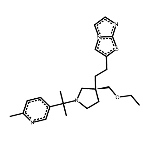 CCOC[C@@]1(CCc2cn3ccnc3s2)CCN(C(C)(C)c2ccc(C)nc2)C1